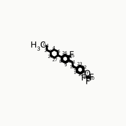 CCCC1CCC(c2ccc(CCc3ccc(OC(F)(F)F)cc3)c(F)c2)CC1